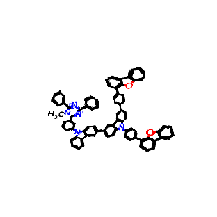 C=N/C(=N\C(=N/Cc1cccc(-n2c3ccccc3c3cc(-c4ccc5c(c4)c4cc(-c6ccc(-c7cccc8c7oc7ccccc78)cc6)ccc4n5-c4ccc(-c5cccc6c5oc5ccccc56)cc4)ccc32)c1)c1ccccc1)c1ccccc1